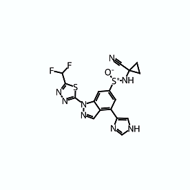 N#CC1(N[S+]([O-])c2cc(-c3c[nH]cn3)c3cnn(-c4nnc(C(F)F)s4)c3c2)CC1